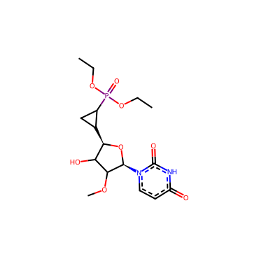 CCOP(=O)(OCC)C1CC1[C@H]1O[C@@H](n2ccc(=O)[nH]c2=O)C(OC)C1O